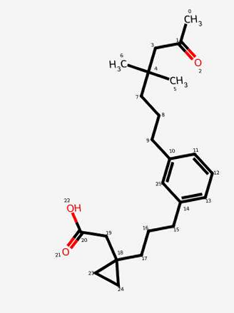 CC(=O)CC(C)(C)CCCc1cccc(CCCC2(CC(=O)O)CC2)c1